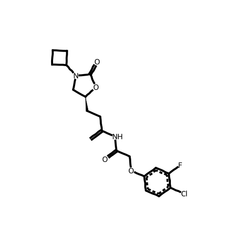 C=C(CC[C@H]1CN(C2CCC2)C(=O)O1)NC(=O)COc1ccc(Cl)c(F)c1